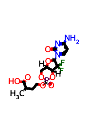 CC(CCO[P@@]1(=O)OC[C@H]2O[C@@H](n3ccc(N)nc3=O)C(F)(F)[C@@H]2O1)C(=O)O